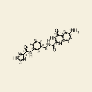 Nc1ccc2nc(C(=O)NCc3cccc(NC(=O)c4nc[nH]n4)c3)[nH]c(=O)c2c1